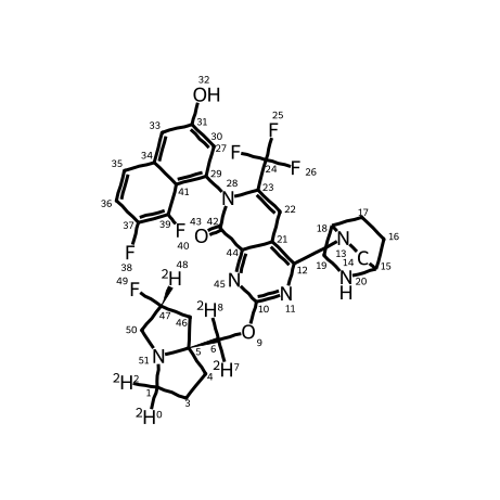 [2H]C1([2H])CC[C@@]2(C([2H])([2H])Oc3nc(N4CC5CCC4CN5)c4cc(C(F)(F)F)n(-c5cc(O)cc6ccc(F)c(F)c56)c(=O)c4n3)C[C@@]([2H])(F)CN12